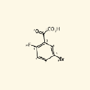 O=C(O)C(=O)c1cc(Br)ccc1F